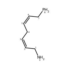 NC/C=C\C/C=C\CP